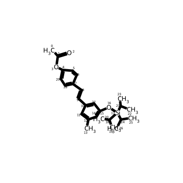 CC(=O)Oc1ccc(/C=C/c2cc(C)cc(O[Si](C(C)C)(C(C)C)C(C)C)c2)cc1